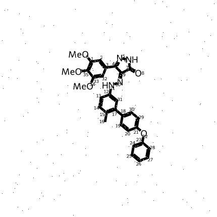 COc1cc(C2=NNC(=O)/C2=N/Nc2ccc(C)c(-c3ccc(Oc4ccccc4)cc3)c2)cc(OC)c1OC